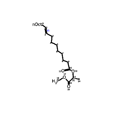 CCCCCCCC/C=C/CCCCCCCC(=O)O[C@@H](C)C(=O)OP